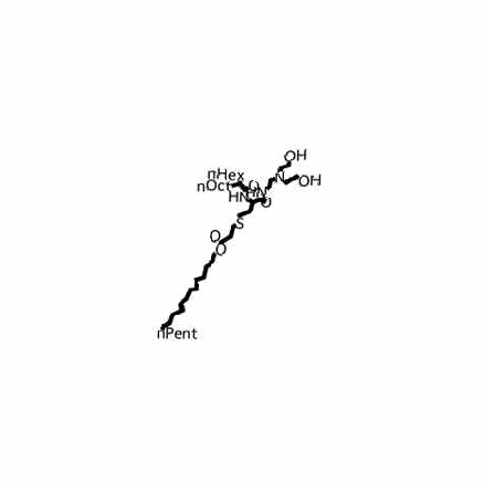 CCCCCC=CCC=CCCCCCCCCOC(=O)CCSCCC(NC(=O)C(CCCCCC)CCCCCCCC)C(=O)NCCN(CCO)CCO